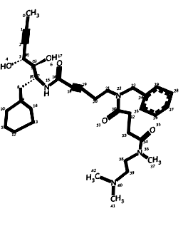 CC#C[C@@H](O)[C@@H](O)[C@@H](CC1CCCCC1)NC(=O)C#CCCN(Cc1ccccc1)C(=O)CCC(=O)N(C)CCN(C)C